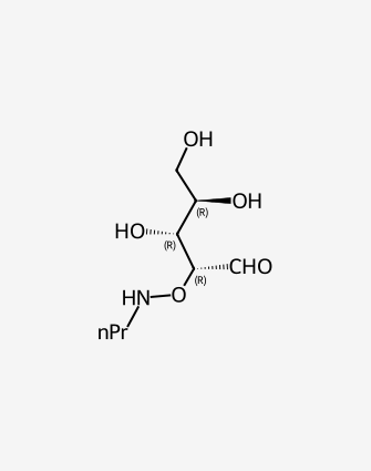 CCCNO[C@@H](C=O)[C@H](O)[C@H](O)CO